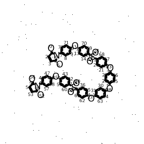 O=C1C=CC(=O)N1c1ccc(Oc2ccc(S(=O)(=O)c3ccc(Oc4ccc(Oc5ccc(Oc6ccc(S(=O)(=O)c7ccc(Oc8ccc(N9C(=O)C=CC9=O)cc8)cc7)cc6)cc5)cc4)cc3)cc2)cc1